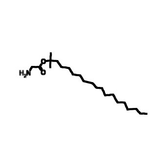 CCCCCCCCCCCCCCCCCC(C)(C)OC(=O)CN